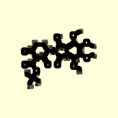 COc1c(OC)c(OC)c2c(c1OC)C(=O)N(C1CCC(=O)N(C(=O)OC(C)(C)C)C1=O)C2=O